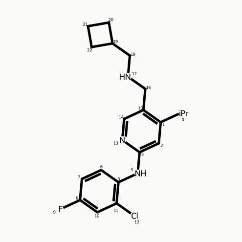 CC(C)c1cc(Nc2ccc(F)cc2Cl)ncc1CNCC1CCC1